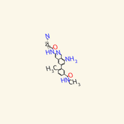 CNC(=O)c1ccc(C)c(-c2cc(N)c3cnc(NC(=O)[C@H]4C[C@@H]4C#N)cc3c2)c1